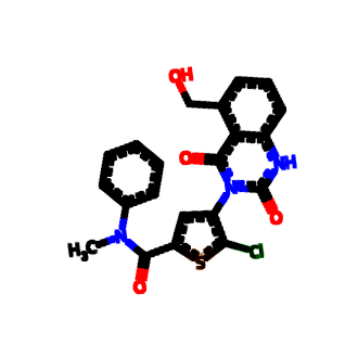 CN(C(=O)c1cc(-n2c(=O)[nH]c3cccc(CO)c3c2=O)c(Cl)s1)c1ccccc1